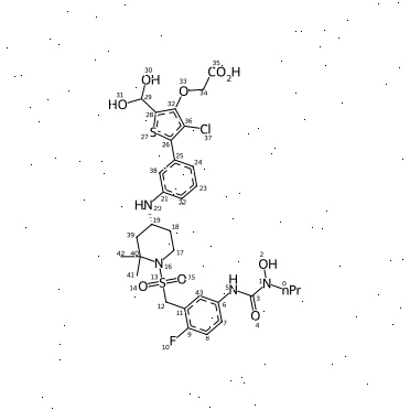 CCCN(O)C(=O)Nc1ccc(F)c(CS(=O)(=O)N2CC[C@@H](Nc3cccc(-c4sc(C(O)O)c(OCC(=O)O)c4Cl)c3)CC2(C)C)c1